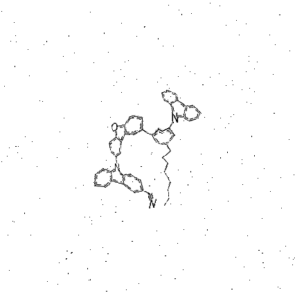 CCCCCCCCc1cc(-c2ccc3oc4ccc(-n5c6ccccc6c6cc(C#N)ccc65)cc4c3c2)cc(-n2c3ccccc3c3ccccc32)c1